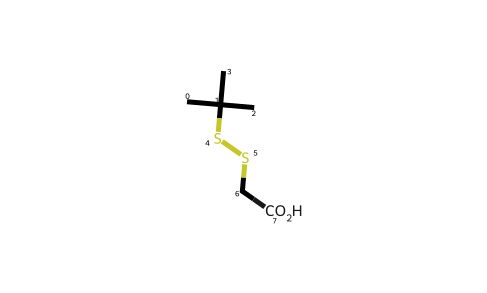 CC(C)(C)SSCC(=O)O